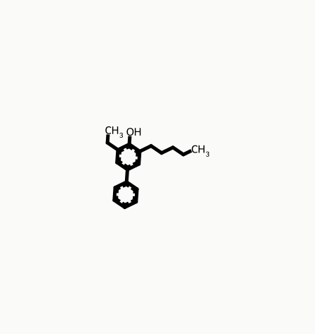 CCCCCc1cc(-c2ccccc2)cc(CC)c1O